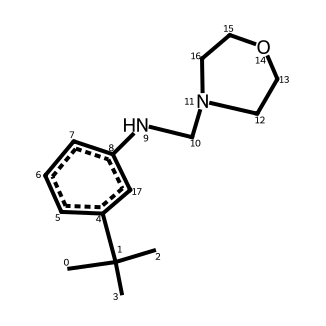 CC(C)(C)c1cccc(NCN2CCOCC2)c1